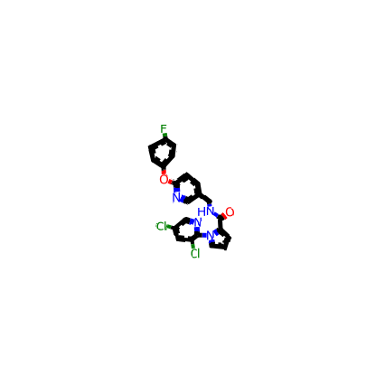 O=C(NCc1ccc(Oc2ccc(F)cc2)nc1)c1cccn1-c1ncc(Cl)cc1Cl